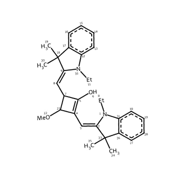 CCN1C(=CC2=C(O)C(C=C3N(CC)c4ccccc4C3(C)C)C2OC)C(C)(C)c2ccccc21